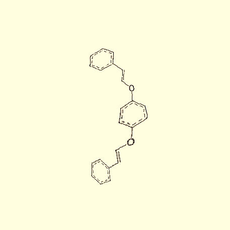 C(=Cc1ccccc1)Oc1ccc(OC=Cc2ccccc2)cc1